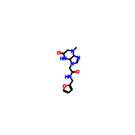 CN1CC(=O)NC2C1N=CN2CC(=O)NCc1ccco1